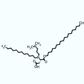 CCCCCCCCCCCCCCCCCCOC(=O)[C@H](CC(=O)O)N(CCCCCCCCCCCC)CCCN(C)C